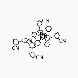 N#Cc1cccc(-c2ccc3c(c2)c2cc(-c4cccc(C#N)c4)ccc2n3-c2ccccc2-c2c(-c3cc(-c4ccccc4)nc(-c4ccccc4)n3)cccc2-n2c3ccc(-c4cccc(C#N)c4)cc3c3cc(-c4cccc(C#N)c4)ccc32)c1